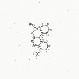 CC(C)OCc1cnc2c(C(F)(F)F)cccc2c1-c1ccccc1